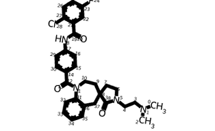 CN(C)CCN1CCC2(CCN(C(=O)c3ccc(NC(=O)c4cc(F)ccc4Cl)cc3)c3ccccc3C2)C1=O